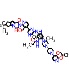 C=CC(=O)Nc1cc(Nc2nc(-c3ccnc(N4CCn5c(cc6c5CC(C)(C)C6)C4=O)c3CO)cnc2OC)ccc1N1CCN(C2CCN(c3ccnc4c3OC[C@@H](C)O4)CC2)C[C@@H]1C